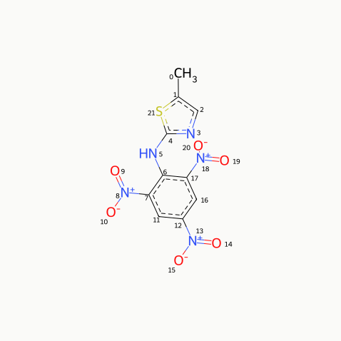 Cc1cnc(Nc2c([N+](=O)[O-])cc([N+](=O)[O-])cc2[N+](=O)[O-])s1